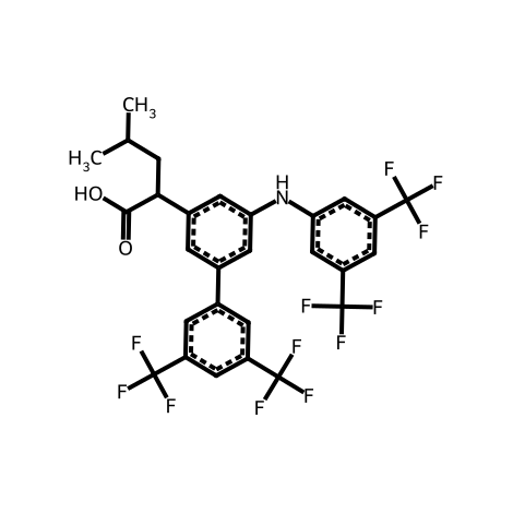 CC(C)CC(C(=O)O)c1cc(Nc2cc(C(F)(F)F)cc(C(F)(F)F)c2)cc(-c2cc(C(F)(F)F)cc(C(F)(F)F)c2)c1